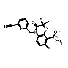 C[C@@H](O)c1c(F)ccc2c1OC(F)(F)C(=O)N2Cc1cccc(C#N)n1